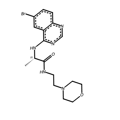 C[C@H](Nc1ncnc2ccc(Br)cc12)C(=O)NCCN1CCOCC1